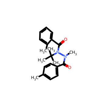 Cc1ccc(C(=O)N(C)N(C(=O)c2ccccc2C)C(C)(C)C)cc1